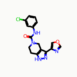 O=C(Nc1cccc(Cl)c1)N1CCc2[nH]nc(-c3cocn3)c2C1